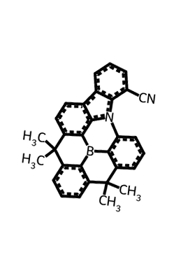 CC1(C)c2cccc3c2B2c4c1cccc4C(C)(C)c1ccc4c5cccc(C#N)c5n-3c4c12